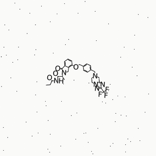 CCC(=O)NC(=O)C(C)N1Cc2c(OCc3ccc(CN4CCn5nc(C(F)(F)F)nc5C4)cc3)cccc2C1=O